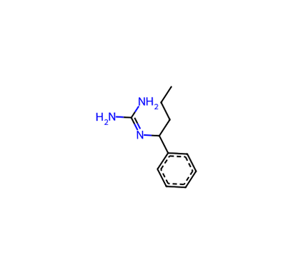 CCCC(N=C(N)N)c1ccccc1